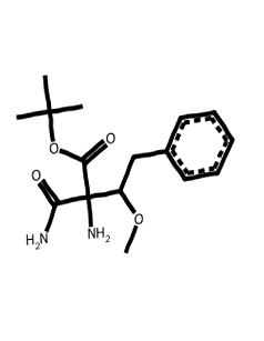 COC(Cc1ccccc1)C(N)(C(N)=O)C(=O)OC(C)(C)C